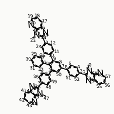 Cn1c(-c2ccc(-c3cc(-c4ccc(-c5nc6cccnc6n5C)cc4)c(-c4ccccc4)c(-c4ccc(-c5nc6cccnc6n5C)cc4)c3)cc2)nc2cccnc21